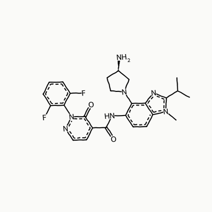 CC(C)c1nc2c(N3CC[C@@H](N)C3)c(NC(=O)c3ccnn(-c4c(F)cccc4F)c3=O)ccc2n1C